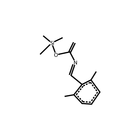 C=C(N=Cc1c(C)cccc1C)O[Si](C)(C)C